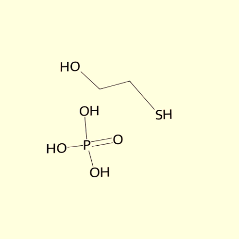 O=P(O)(O)O.OCCS